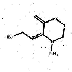 C=C1CCCN(N)/C1=C/CC(C)CC